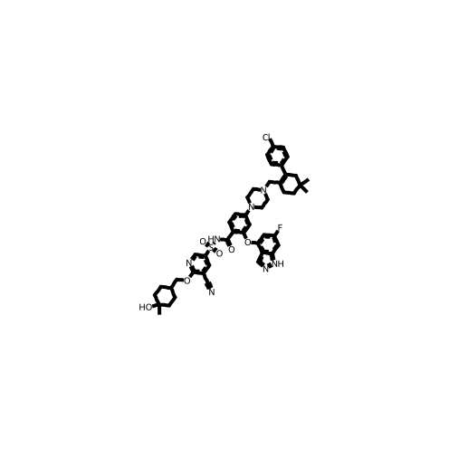 CC1(C)CCC(CN2CCN(c3ccc(C(=O)NS(=O)(=O)c4cnc(OCC5CCC(C)(O)CC5)c(C#N)c4)c(Oc4cc(F)cc5[nH]ncc45)c3)CC2)=C(c2ccc(Cl)cc2)C1